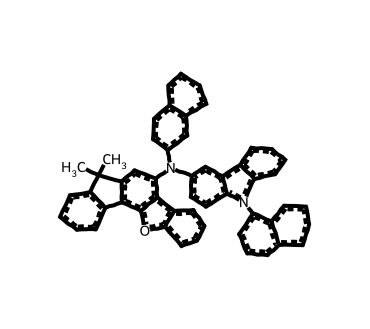 CC1(C)c2ccccc2-c2c1cc(N(c1ccc3ccccc3c1)c1ccc3c(c1)c1ccccc1n3-c1cccc3ccccc13)c1c2oc2ccccc21